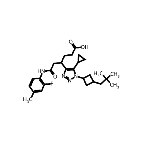 Cc1ccc(NC(=O)CC(CCC(=O)O)c2nnn(C3CC(CC(C)(C)C)C3)c2C2CC2)c(F)c1